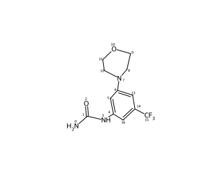 NC(=O)Nc1cc(N2CCOCC2)cc(C(F)(F)F)c1